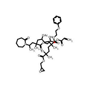 C=CC(=O)OCC(O)COC(=O)C(C)(CC(CCC(C)(CCC(C)(CC)C(=O)OCC1CO1)C(=O)OCCOc1ccccc1)OC(C)=O)CC(C)N1CCCCCC1=O